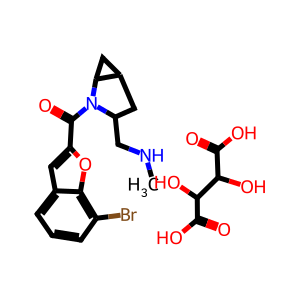 CNCC1CC2CC2N1C(=O)c1cc2cccc(Br)c2o1.O=C(O)C(O)C(O)C(=O)O